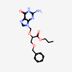 CCCOC(=O)C(COCc1ccccc1)OCn1cnc2c(=O)[nH]c(N)nc21